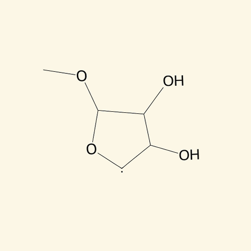 COC1O[CH]C(O)C1O